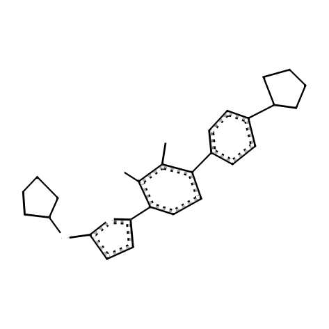 Fc1c(-c2ccc(C3CCCC3)cc2)ccc(-c2ccc(OC3CCCC3)s2)c1F